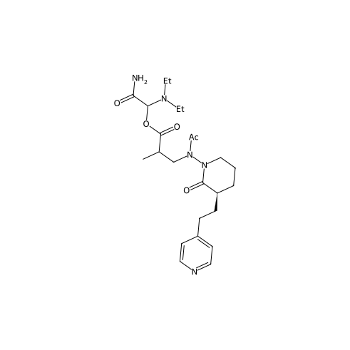 CCN(CC)C(OC(=O)C(C)CN(C(C)=O)N1CCC[C@@H](CCc2ccncc2)C1=O)C(N)=O